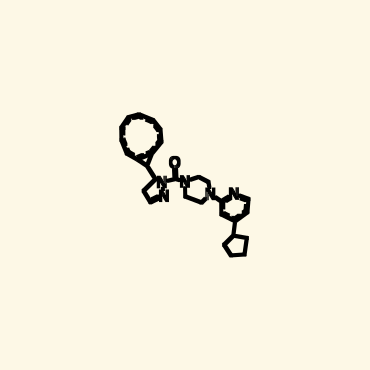 O=C(N1CCN(c2cc(C3CCCC3)ccn2)CC1)N1N=CCC1C1c2ccccccccc21